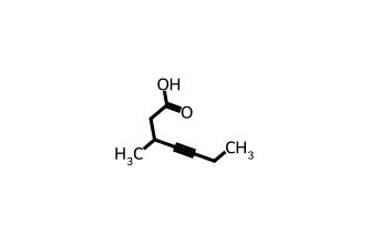 CCC#CC(C)CC(=O)O